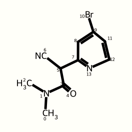 CN(C)C(=O)C(C#N)c1cc(Br)ccn1